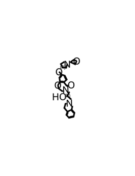 O=C1c2ccc(O[C@@H]3CCN(C4COC4)C3)cc2OCCN1C[C@H](O)CN1CCc2ccccc2C1